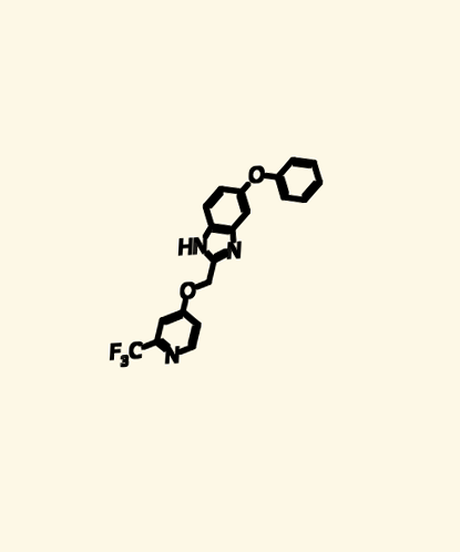 FC(F)(F)c1cc(OCc2nc3cc(Oc4ccccc4)ccc3[nH]2)ccn1